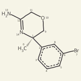 C[C@@]1(c2cccc(Br)c2)COCC(N)=N1